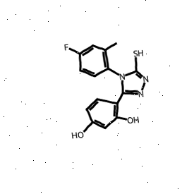 Cc1cc(F)ccc1-n1c(S)nnc1-c1ccc(O)cc1O